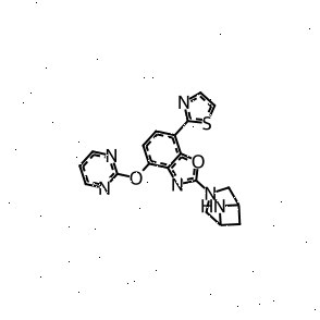 c1cnc(Oc2ccc(-c3nccs3)c3oc(N4CC5CC(C4)N5)nc23)nc1